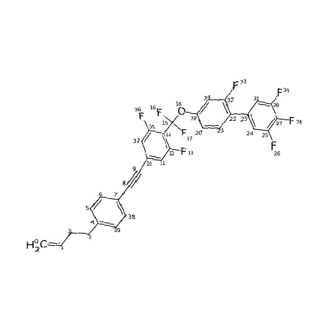 C=CCCc1ccc(C#Cc2cc(F)c(C(F)(F)Oc3ccc(-c4cc(F)c(F)c(F)c4)c(F)c3)c(F)c2)cc1